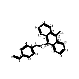 C=Cc1ccc(COc2c3ccccc3c(C)c3ccccc23)cc1